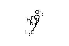 CCCCCCN1C=CC(C)=CC1.N=S(F)F